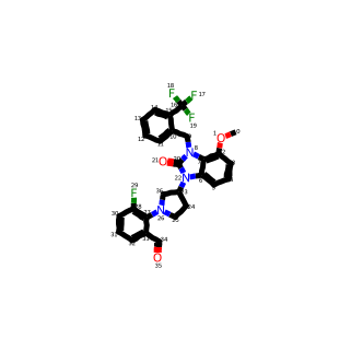 COc1cccc2c1n(Cc1ccccc1C(F)(F)F)c(=O)n2C1CCN(c2c(F)cccc2C=O)C1